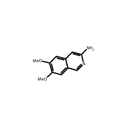 COc1cc2cnc(N)cc2cc1OC